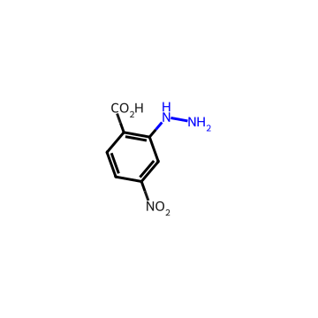 NNc1cc([N+](=O)[O-])ccc1C(=O)O